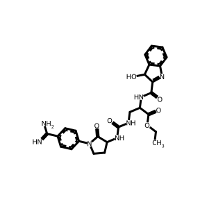 CCOC(=O)C(CNC(=O)NC1CCN(c2ccc(C(=N)N)cc2)C1=O)NC(=O)C1=Nc2ccccc2C1O